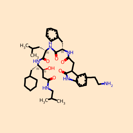 CC(C)CNC(=O)C[C@H](O)[C@H](CC1CCCCC1)NC(=O)[C@H](CC(C)C)NC(=O)[C@H](Cc1ccccc1)NC(=O)CC1C(=O)Nc2ccc(CCN)cc21